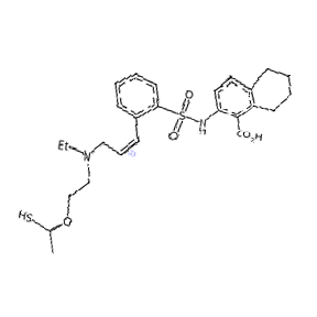 CCN(C/C=C\c1ccccc1S(=O)(=O)Nc1ccc2c(c1C(=O)O)CCCC2)CCOC(C)S